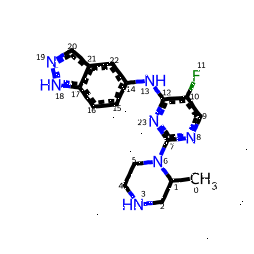 CC1CNCCN1c1ncc(F)c(Nc2ccc3[nH]ncc3c2)n1